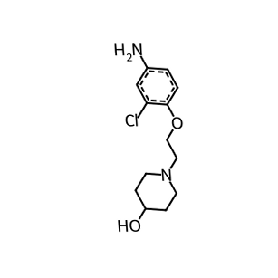 Nc1ccc(OCCN2CCC(O)CC2)c(Cl)c1